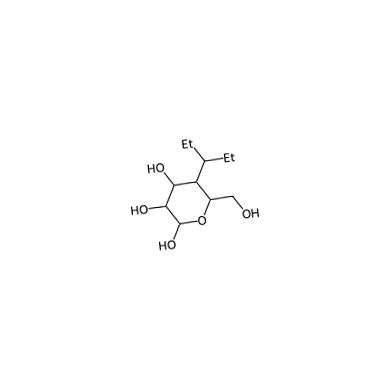 CCC(CC)C1C(CO)OC(O)C(O)C1O